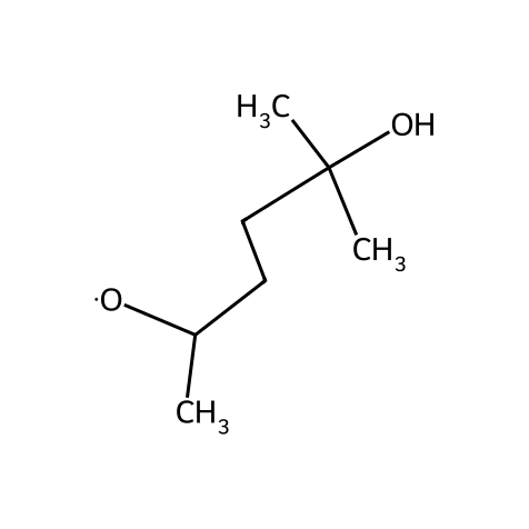 CC([O])CCC(C)(C)O